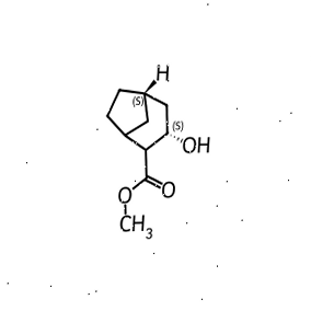 COC(=O)C1C2CC[C@@H](C2)C[C@@H]1O